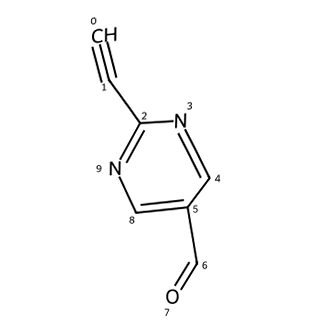 C#Cc1ncc(C=O)cn1